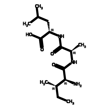 CC[C@H](C)[C@H](N)C(=O)N[C@@H](C)C(=O)N[C@@H](CC(C)C)C(=O)O